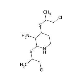 CC(CCl)SC1CCNC(SC(C)CCl)C1N